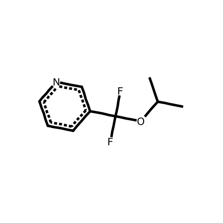 CC(C)OC(F)(F)c1cccnc1